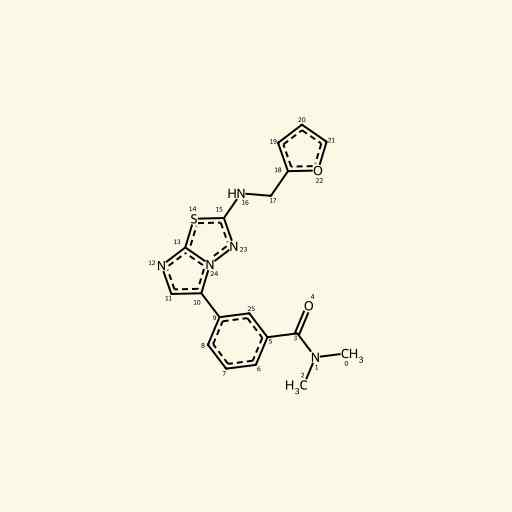 CN(C)C(=O)c1cccc(-c2cnc3sc(NCc4ccco4)nn23)c1